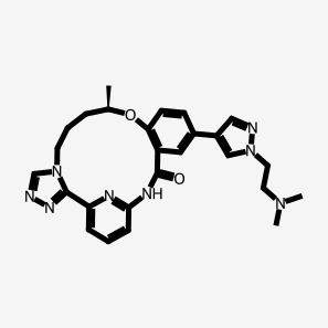 C[C@@H]1CCCn2cnnc2-c2cccc(n2)NC(=O)c2cc(-c3cnn(CCN(C)C)c3)ccc2O1